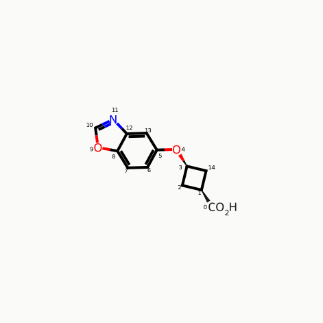 O=C(O)[C@H]1C[C@@H](Oc2ccc3ocnc3c2)C1